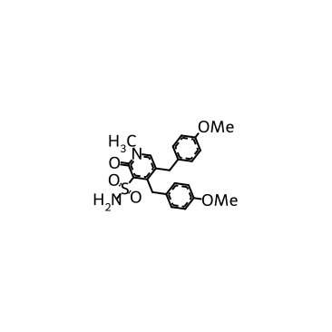 COc1ccc(Cc2cn(C)c(=O)c(S(N)(=O)=O)c2Cc2ccc(OC)cc2)cc1